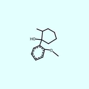 COc1ccccc1C1(O)CCCCC1C